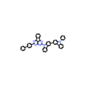 c1ccc(-c2ccc(-c3nc4c5c(nc(-n6c7ccccc7c7cc(-c8ccc9c(c8)c8ccccc8n9-c8ccccc8)ccc76)nc5n3)-c3ccccc3-4)cc2)cc1